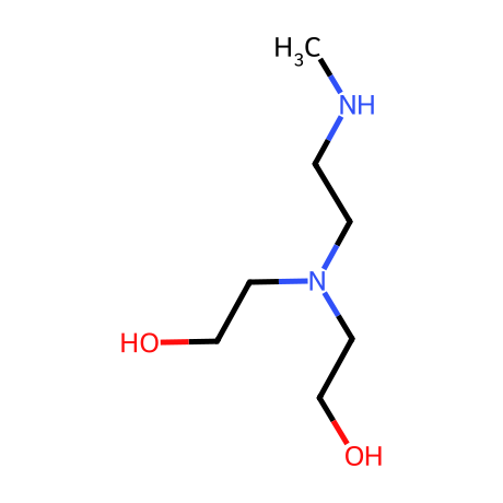 CNCCN(CCO)CCO